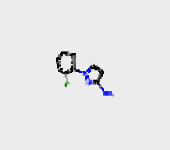 Nc1ccn(-c2ccccc2Cl)n1